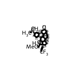 COCC(=O)[C@@]1(C#CC(F)(F)F)CC[C@H]2[C@@H]3CCC4=CC(=O)CCC4=C3[C@@H](c3ccc(N(C)C)cc3)C[C@@]21C